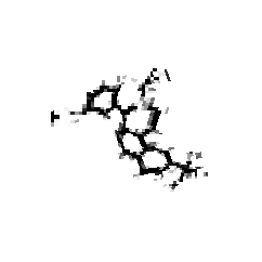 Cc1ccc(C)c(-c2c3ccc4ccc(C(F)(F)F)cc4c3cc[n+]2CO)c1